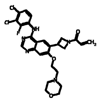 C=CC(=O)N1CC(c2cc3c(Nc4ccc(Cl)c(Cl)c4F)ncnc3cc2OCCN2CCOCC2)C1